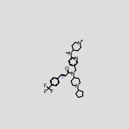 CN1CCC(N(C)c2ccc(CN(C(=O)/C=C/c3ccc(C(F)(F)F)cc3)C3CCN(C4CCCC4)CC3)cn2)CC1